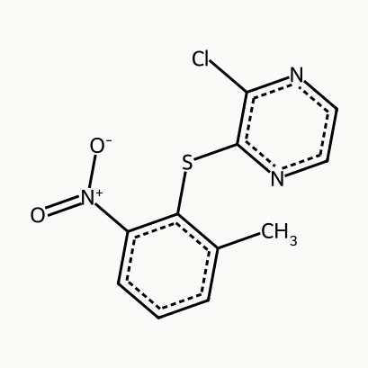 Cc1cccc([N+](=O)[O-])c1Sc1nccnc1Cl